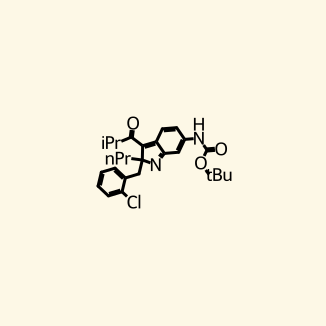 CCCC1(Cc2ccccc2Cl)N=c2cc(NC(=O)OC(C)(C)C)ccc2=C1C(=O)C(C)C